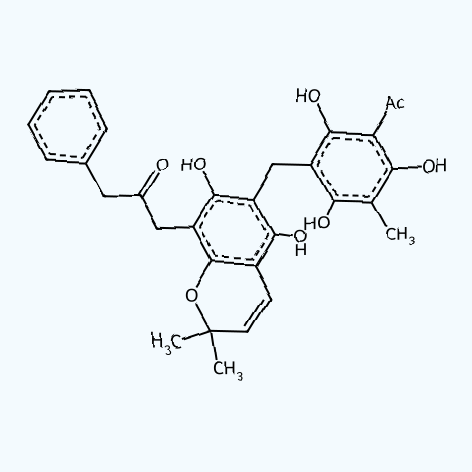 CC(=O)c1c(O)c(C)c(O)c(Cc2c(O)c3c(c(CC(=O)Cc4ccccc4)c2O)OC(C)(C)C=C3)c1O